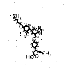 CC#CC(CC(=O)O)c1ccc(OCc2cc(-c3ccc(OCCCSC)cc3C)cn3ncnc23)cc1